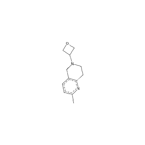 Cc1ccc2c(n1)CCN(C1COC1)C2